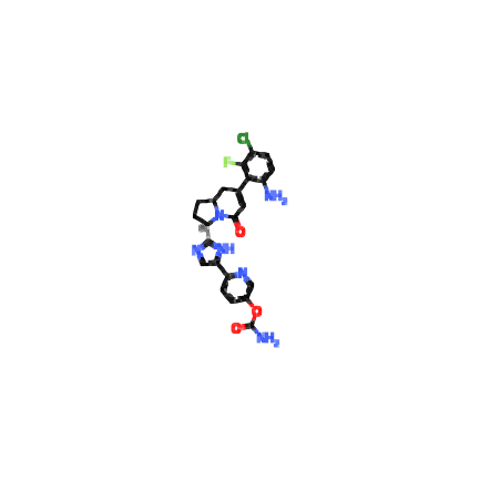 NC(=O)Oc1ccc(-c2cnc([C@@H]3CCC4CC(c5c(N)ccc(Cl)c5F)=CC(=O)N43)[nH]2)nc1